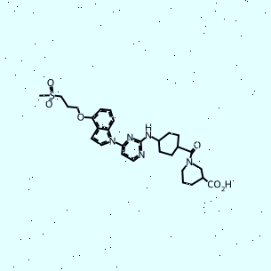 CS(=O)(=O)CCCOc1cccc2c1ccn2-c1ccnc(NC2CCC(C(=O)N3CCCC(C(=O)O)C3)CC2)n1